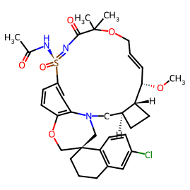 CO[C@H]1/C=C/COC(C)(C)C(=O)N=[S@](=O)(NC(C)=O)c2ccc3c(c2)N(C[C@@H]2CC[C@H]21)C[C@@]1(CCCc2cc(Cl)ccc21)CO3